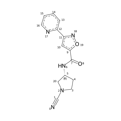 N#CN1CC[C@@H](NC(=O)c2cc(-c3ccccn3)no2)C1